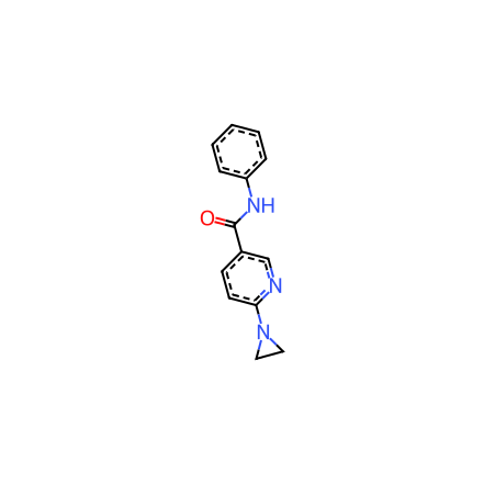 O=C(Nc1ccccc1)c1ccc(N2CC2)nc1